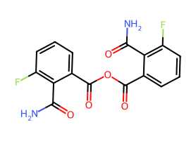 NC(=O)c1c(F)cccc1C(=O)OC(=O)c1cccc(F)c1C(N)=O